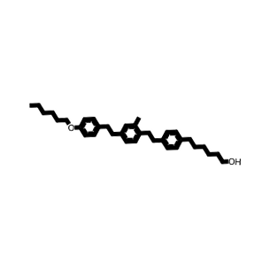 CCCCCCOc1ccc(CCc2ccc(CCc3ccc(CCCCCCO)cc3)c(C)c2)cc1